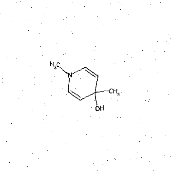 CN1C=CC(C)(O)C=C1